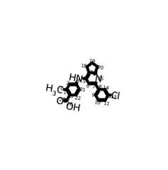 Cc1cc(Nc2cc(-c3cccc(Cl)c3)nc3c2CCC3)ccc1C(=O)O